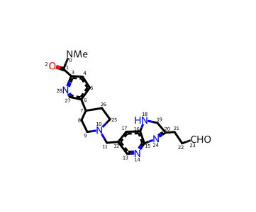 CNC(=O)c1ccc(C2CCN(Cc3cnc4c(c3)NCC(CCC=O)=N4)CC2)cn1